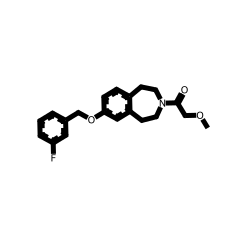 COCC(=O)N1CCc2ccc(OCc3cccc(F)c3)cc2CC1